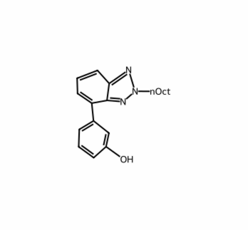 CCCCCCCCn1nc2cccc(-c3cccc(O)c3)c2n1